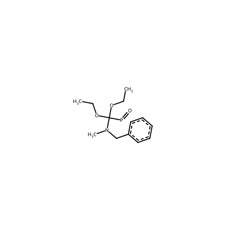 CCOC(OCC)(P=O)N(C)Cc1ccccc1